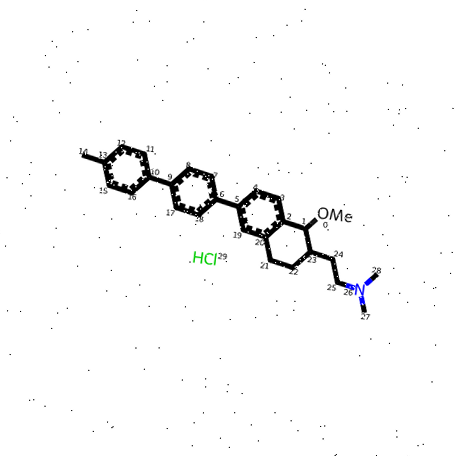 COC1c2ccc(-c3ccc(-c4ccc(C)cc4)cc3)cc2CCC1CCN(C)C.Cl